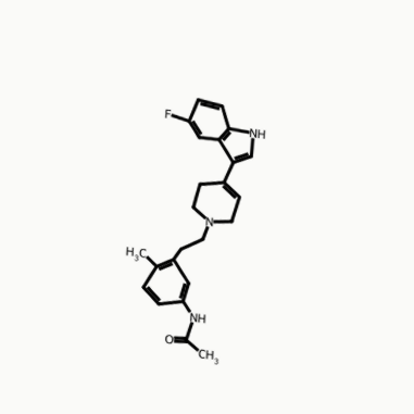 CC(=O)Nc1ccc(C)c(CCN2CC=C(c3c[nH]c4ccc(F)cc34)CC2)c1